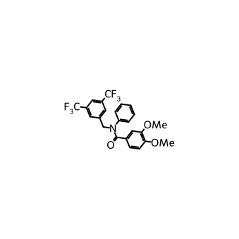 COc1ccc(C(=O)N(Cc2cc(C(F)(F)F)cc(C(F)(F)F)c2)c2ccccc2)cc1OC